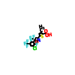 Cc1cc(C2=NO[C@](c3cc(C(F)(F)F)cc(Cl)c3F)(C(F)(F)F)C2)sc1C(=O)O